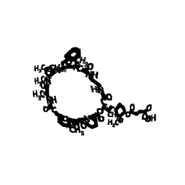 CO[C@@H]1C[C@H](C[C@@H](C)[C@@H]2CC(=O)NCCNC(=O)CN(C)C(=O)[C@H](Cc3ccccc3)NC(=O)[C@H](CC(C)C)N(C)C(=O)[C@H](C)NC(=O)CC[C@@H]3CC[C@@H](C)[C@@](O)(O3)C(=O)C(=O)N3CCCC[C@H]3C(=O)O2)CCC1OC(=O)CCC(=O)OO